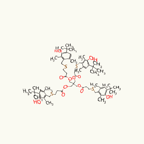 Cc1cc(C(C)(C)C)c(O)c(C)c1CSCCC(=O)OCC(COC(=O)CCSCc1c(C)cc(C(C)(C)C)c(O)c1C)(COC(=O)CCSCc1c(C)cc(C(C)(C)C)c(O)c1C)COC(=O)CCSCc1c(C)cc(C(C)(C)C)c(O)c1C